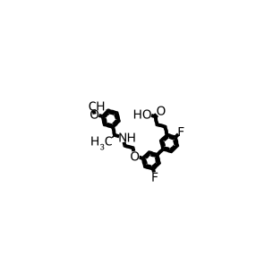 COc1cccc([C@@H](C)NCCOc2cc(F)cc(-c3ccc(F)c(CCC(=O)O)c3)c2)c1